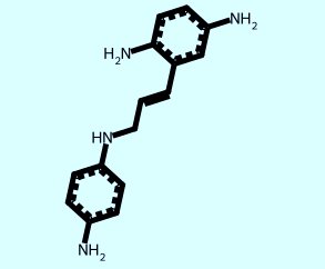 Nc1ccc(NCC=Cc2cc(N)ccc2N)cc1